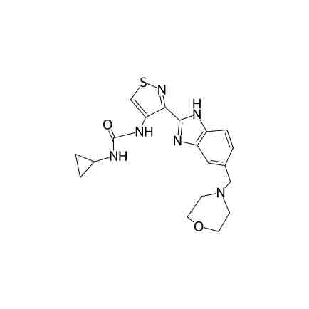 O=C(Nc1csnc1-c1nc2cc(CN3CCOCC3)ccc2[nH]1)NC1CC1